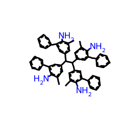 Cc1cc(C(c2cc(C)c(N)c(-c3ccccc3)c2)C(c2cc(C)c(N)c(-c3ccccc3)c2)c2cc(C)c(N)c(-c3ccccc3)c2)cc(-c2ccccc2)c1N